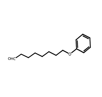 O=CCCCCCCCOc1ccccc1